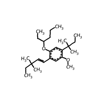 CCCC(CC)Oc1cc(C(C)(C)CC)c(OC)cc1/C=C/C(C)(C)CC